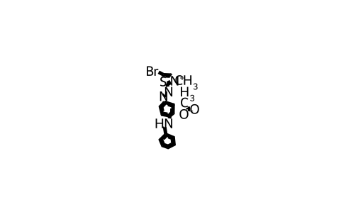 CC(=O)[O-].C[n+]1cc(Br)sc1/N=N/c1ccc(NCc2ccccc2)cc1